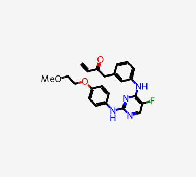 C=CC(=O)Cc1cccc(Nc2nc(Nc3ccc(OCCOC)cc3)ncc2F)c1